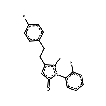 Cn1c(CCc2ccc(F)cc2)cc(=O)n1-c1ccccc1F